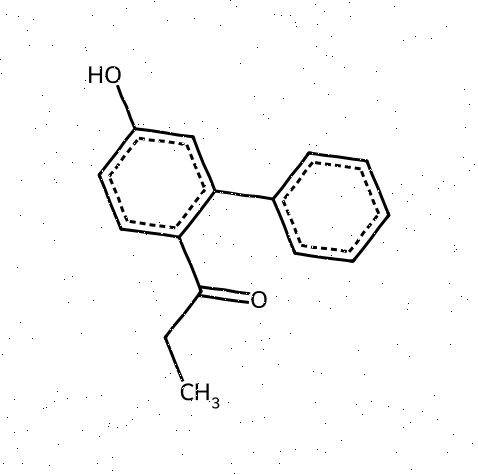 CCC(=O)c1ccc(O)cc1-c1ccccc1